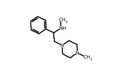 CNC(CN1CCN(C)CC1)c1ccccc1